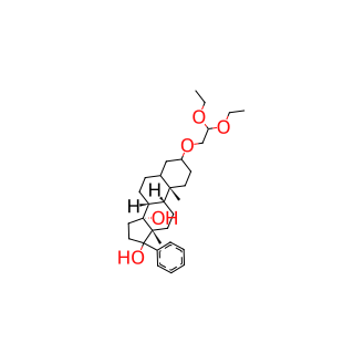 CCOC(COC1CC[C@@]2(C)C(CC[C@@H]3[C@H]2CC[C@]2(C)C(O)(c4ccccc4)CC[C@@]32O)C1)OCC